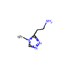 CCCn1cnnc1CCN